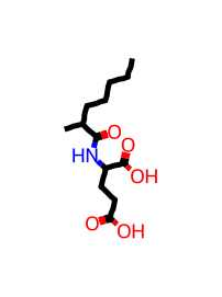 CCCCCC(C)C(=O)NC(CCC(=O)O)C(=O)O